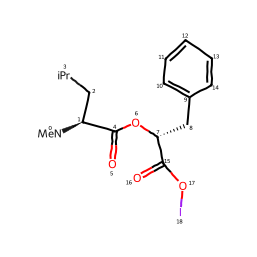 CN[C@@H](CC(C)C)C(=O)O[C@H](Cc1ccccc1)C(=O)OI